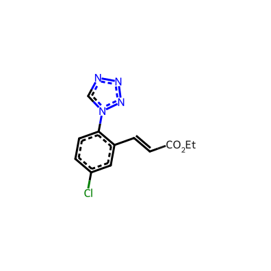 CCOC(=O)C=Cc1cc(Cl)ccc1-n1cnnn1